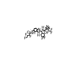 C[C@@H](NC(=O)C(F)C(F)CF)c1ccc2nc([C@@H](NC(=O)c3cnnn3C(F)C(F)F)C3CCC(F)(F)CC3)[nH]c2c1